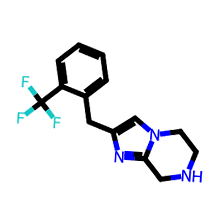 FC(F)(F)c1ccccc1Cc1cn2c(n1)CNCC2